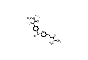 CN(C)C(=O)CCc1ccc(Oc2ccc(C(N)C(=O)N(C)C)cc2)cc1.Cl